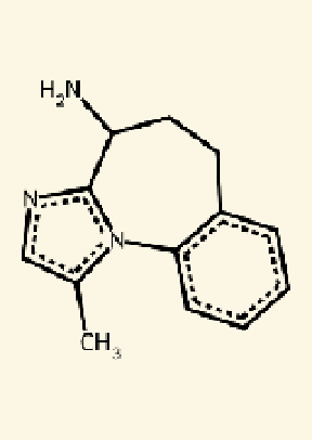 Cc1cnc2n1-c1ccccc1CCC2N